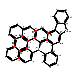 C1=c2cccc(-c3ccccc3)c2=C(c2ccccc2N(c2ccccc2-c2ccccc2)c2ccccc2-c2ccc3c(c2)oc2ccccc23)CC1